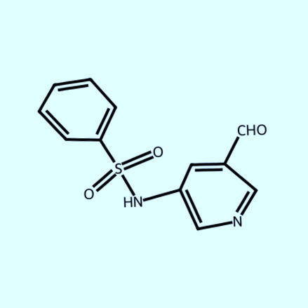 O=Cc1cncc(NS(=O)(=O)c2ccccc2)c1